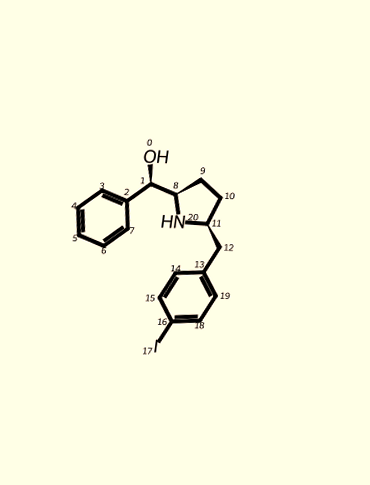 O[C@H](c1ccccc1)[C@H]1CC[C@@H](Cc2ccc(I)cc2)N1